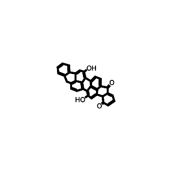 O=C1C2=CC=CC(=O)C2c2cc(O)c3c4ccc5c6c(cc(O)c(c7ccc1c2c73)c64)-c1ccccc1C5